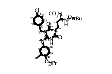 Cc1cc(/N=c2\[nH]c(=O)n(CC[C@H](NOC(C)(C)C)C(=O)O)c(=O)n2Cc2ccc(Cl)cc2)ccc1OC(C)C